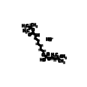 CC(C)(C)OC(=O)NCCCCCCOP(=O)(O)OCC[N+](C)(C)C.[OH-]